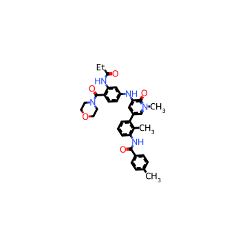 CCC(=O)Nc1cc(Nc2cc(-c3cccc(NC(=O)c4ccc(C)cc4)c3C)cn(C)c2=O)ccc1C(=O)N1CCOCC1